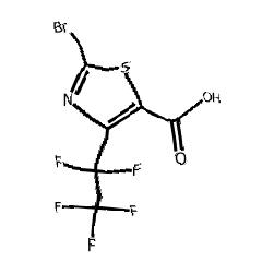 O=C(O)c1sc(Br)nc1C(F)(F)C(F)(F)F